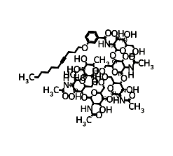 CCCCCCC#CCCCOc1cccc(C(=O)N[C@@H]2C(O[C@@H]3C(CO)O[C@@H](OC4C(CO)O[C@@H](O[C@@H]5C(CO)OC(OC6C(CO[C@@H]7OC(C)C(O)[C@H](O)[C@H]7O)OC(O)[C@@H](NC(C)=O)[C@H]6O)C(NC(C)=O)C5O)[C@@H](NC(C)=O)[C@H]4O)C(NC(C)=O)C3O)OC(CO)[C@@H](O)[C@@H]2O)c1